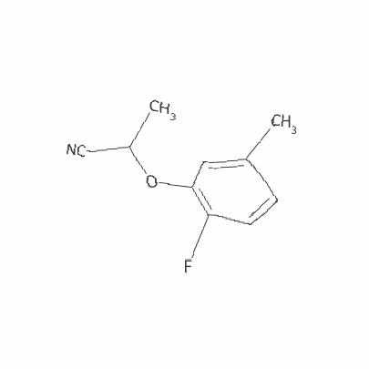 Cc1ccc(F)c(OC(C)C#N)c1